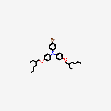 CCCCC(CC)COc1ccc(N(c2ccc(Br)cc2)c2ccc(OCC(CC)CCCC)cc2)cc1